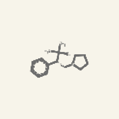 CCC(C)(C)[C@H](CN1CCCC1)c1ccccc1